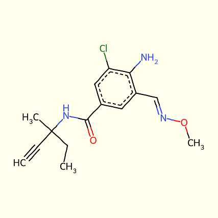 C#CC(C)(CC)NC(=O)c1cc(Cl)c(N)c(C=NOC)c1